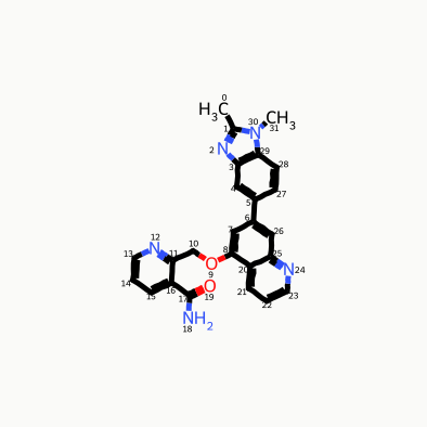 Cc1nc2cc(-c3cc(OCc4ncccc4C(N)=O)c4cccnc4c3)ccc2n1C